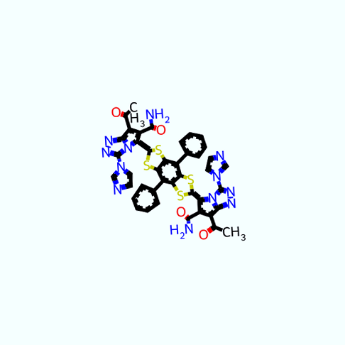 CC(=O)c1c(C(N)=O)c(=C2Sc3c(c(-c4ccccc4)c4c(c3-c3ccccc3)SC(=c3c(C(N)=O)c(C(C)=O)c5nnc(-n6ccnc6)n35)S4)S2)n2c(-n3ccnc3)nnc12